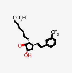 O=C(O)CCCCCC[C@H]1C(=O)[C@H](O)C[C@@H]1C=Cc1cccc(C(F)(F)F)c1